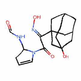 O=CNC1CC=CN1C(=O)/C(=N/O)C12CC3CC(CC(O)(C3)C1)C2